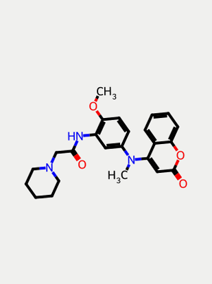 COc1ccc(N(C)c2cc(=O)oc3ccccc23)cc1NC(=O)CN1CCCCC1